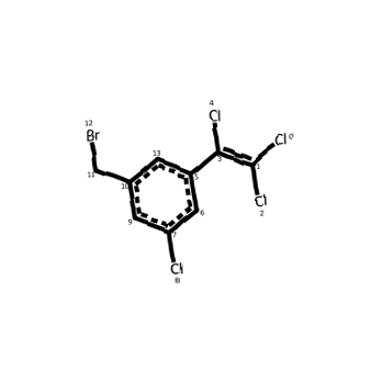 ClC(Cl)=C(Cl)c1cc(Cl)cc(CBr)c1